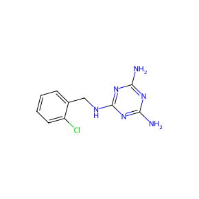 Nc1nc(N)nc(NCc2ccccc2Cl)n1